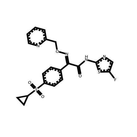 O=C(Nc1ncc(F)s1)/C(=N/OCc1ccccn1)c1ccc(S(=O)(=O)C2CC2)cc1